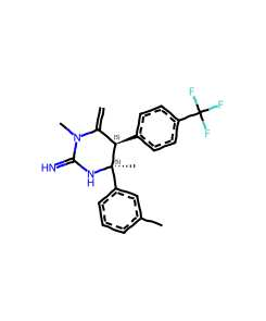 C=C1[C@@H](c2ccc(C(F)(F)F)cc2)[C@@](C)(c2cccc(C)c2)NC(=N)N1C